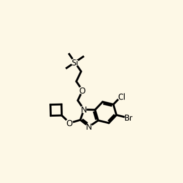 C[Si](C)(C)CCOCn1c(OC2CCC2)nc2cc(Br)c(Cl)cc21